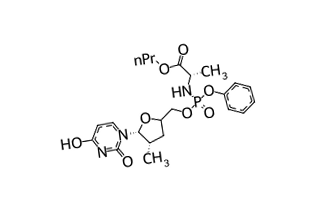 CCCOC(=O)[C@H](C)N[P@](=O)(OCC1C[C@H](C)[C@H](n2ccc(O)nc2=O)O1)Oc1ccccc1